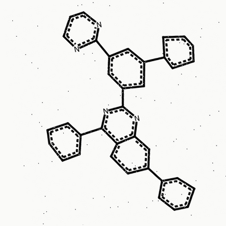 c1ccc(-c2cc(-c3ncccn3)cc(-c3nc(-c4ccccc4)c4ccc(-c5ccccc5)cc4n3)c2)cc1